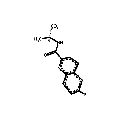 C[C@@H](NC(=O)c1ccc2cc(F)ccc2n1)C(=O)O